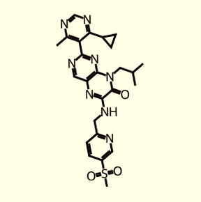 Cc1ncnc(C2CC2)c1-c1ncc2nc(NCc3ccc(S(C)(=O)=O)cn3)c(=O)n(CC(C)C)c2n1